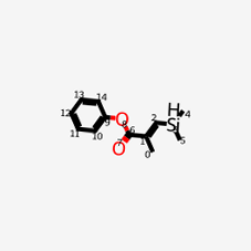 CC(=C[SiH](C)C)C(=O)Oc1ccccc1